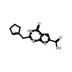 O=C(O)c1cc2c(=O)[nH]c(CC3=CCCC3)nc2s1